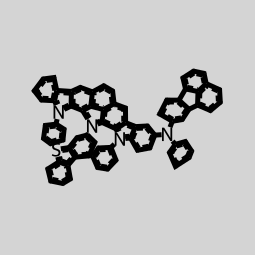 c1ccc(N(c2ccc3c(c2)-c2cccc4cccc-3c24)c2ccc3c(c2)c2cc4ccc5cc6c7ccccc7n(-c7ccccc7)c6c6c5c4c(c2n3-c2ccccc2)n6-c2ccc3c(c2)sc2ccccc23)cc1